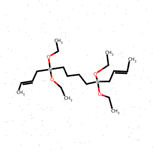 CC=CC[Si](CCCC[Si](CC=CC)(OCC)OCC)(OCC)OCC